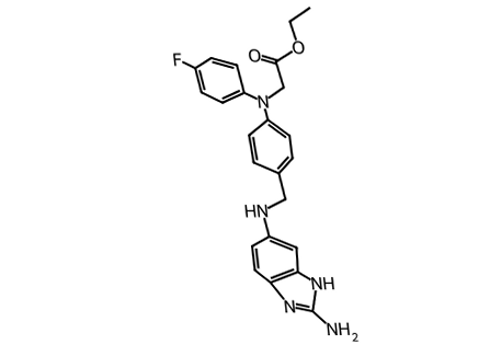 CCOC(=O)CN(c1ccc(F)cc1)c1ccc(CNc2ccc3nc(N)[nH]c3c2)cc1